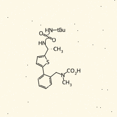 C[C@@H](NS(=O)(=O)NC(C)(C)C)c1ccc(-c2ccccc2CN(C)C(=O)O)s1